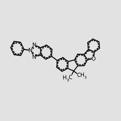 CC1(C)c2ccc(-c3ccc4nn(-c5ccccc5)nc4c3)cc2-c2cc3c(cc21)oc1ccccc13